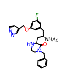 CC(=O)N[C@@H](Cc1cc(F)cc(OCc2ccnnc2)c1)C[C@@H]1NCCN(Cc2ccccc2)C1=O